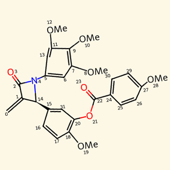 C=C1C(=O)N(c2cc(OC)c(OC)c(OC)c2)[C@H]1c1ccc(OC)c(OC(=O)c2ccc(OC)cc2)c1